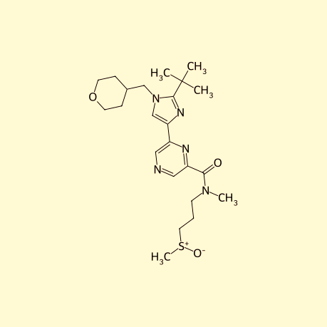 CN(CCC[S+](C)[O-])C(=O)c1cncc(-c2cn(CC3CCOCC3)c(C(C)(C)C)n2)n1